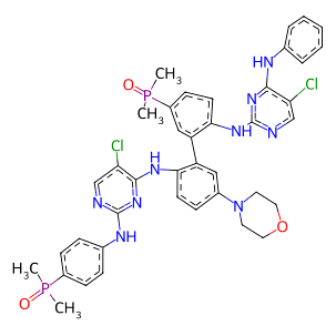 CP(C)(=O)c1ccc(Nc2ncc(Cl)c(Nc3ccc(N4CCOCC4)cc3-c3cc(P(C)(C)=O)ccc3Nc3ncc(Cl)c(Nc4ccccc4)n3)n2)cc1